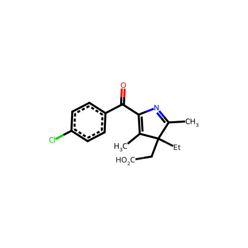 CCC1(CC(=O)O)C(C)=NC(C(=O)c2ccc(Cl)cc2)=C1C